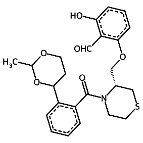 CC1OCCC(c2ccccc2C(=O)N2CCSC[C@H]2COc2cccc(O)c2C=O)O1